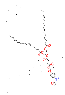 CCCCCCCCCCCCCCCC(=O)OCC(COC(=O)CCCCCCCCCCCCCCC)OC(=O)CCC(=O)OCOc1ccc(NC(C)=O)cc1